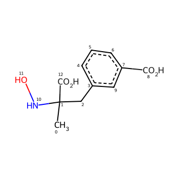 CC(Cc1cccc(C(=O)O)c1)(NO)C(=O)O